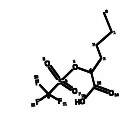 CCCCC(OS(=O)(=O)C(F)(F)F)C(=O)O